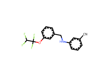 N#Cc1cccc(NCc2cccc(OC(F)(F)C(F)F)c2)c1